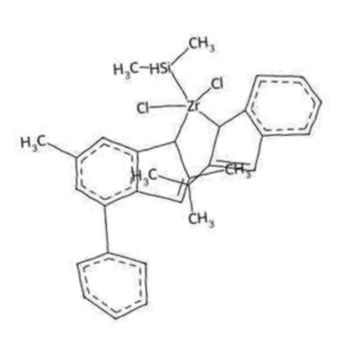 CC1=Cc2c(-c3ccccc3)cc(C)cc2[CH]1[Zr]([Cl])([Cl])([CH]1C(C(C)C)=Cc2ccccc21)[SiH](C)C